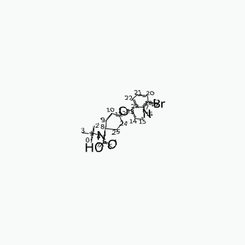 CC(C)(C)N(C(=O)O)C1CCC(Oc2ccnc3c(Br)cccc23)CC1